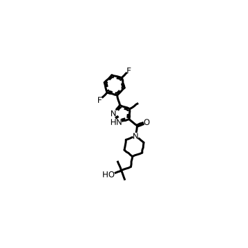 Cc1c(-c2cc(F)ccc2F)n[nH]c1C(=O)N1CCC(CC(C)(C)O)CC1